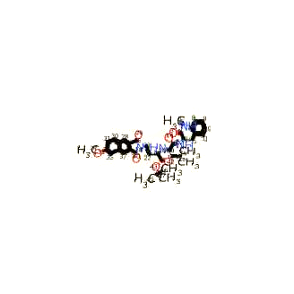 CNC(=O)[C@H](Cc1ccccc1)NC(=O)[C@H](CC(C)C)N[C@H](CCN1C(=O)c2cc3ccc(OC)cc3cc2C1=O)C(=O)OC(C)(C)C